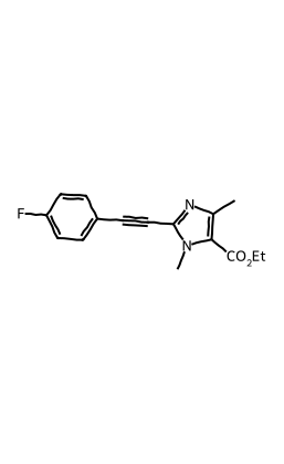 CCOC(=O)c1c(C)nc(C#Cc2ccc(F)cc2)n1C